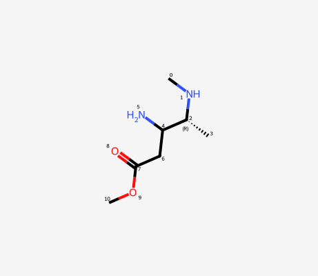 CN[C@H](C)C(N)CC(=O)OC